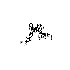 C[Si](C)(C)CCOCn1nc(N2c3ccccc3CC[C@H]2C(=O)N2CCN(c3ncc(C(F)(F)F)cn3)CC2)cc(C(F)(F)F)c1=O